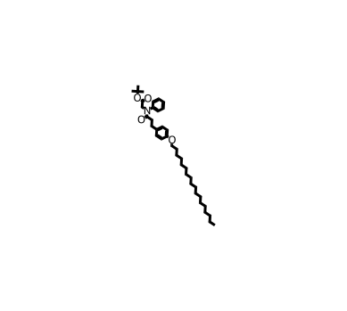 CCCCCCCCCCCCCCCCCCOc1ccc(CCC(=O)N(CC(=O)OC(C)(C)C)c2ccccc2)cc1